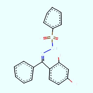 O=S(=O)(NN=C(c1ccccc1)c1ccc(O)cc1O)c1ccccc1